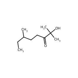 CCC(C)CCC(=O)C(C)(C)O